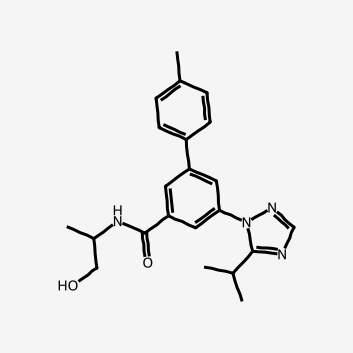 Cc1ccc(-c2cc(C(=O)NC(C)CO)cc(-n3ncnc3C(C)C)c2)cc1